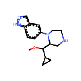 COC(C1CC1)C1CNCCN1c1ccc2[nH]ncc2c1